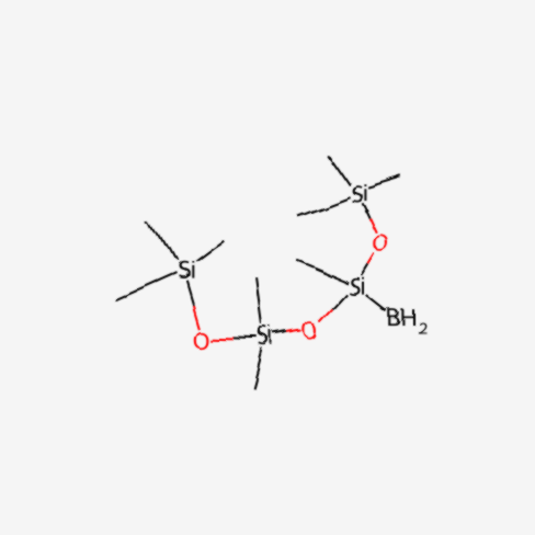 B[Si](C)(O[Si](C)(C)C)O[Si](C)(C)O[Si](C)(C)C